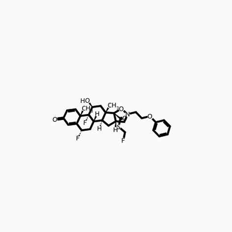 C[C@]12C=CC(=O)C=C1[C@@H](F)C[C@H]1[C@@H]3C[C@H]4CN(CCOc5ccccc5)O[C@@]4(C(=O)SCF)[C@@]3(C)C[C@H](O)[C@@]12F